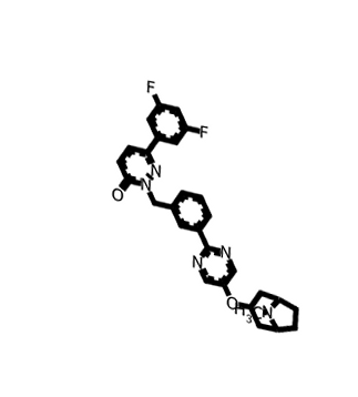 CN1C2CCC1CC(Oc1cnc(-c3cccc(Cn4nc(-c5cc(F)cc(F)c5)ccc4=O)c3)nc1)C2